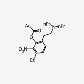 CCCN(CCC)CCc1ccc(CC)c([N+](=O)[O-])c1OC(=O)C(C)=O